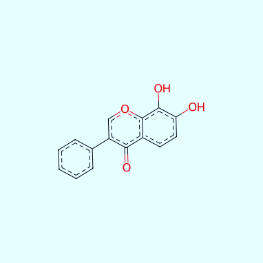 O=c1c(-c2ccccc2)coc2c(O)c(O)ccc12